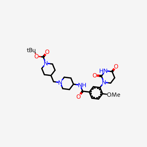 COc1ccc(C(=O)NC2CCN(CC3CCN(C(=O)OC(C)(C)C)CC3)CC2)cc1N1CCC(=O)NC1=O